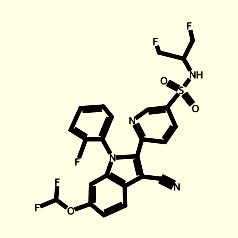 N#Cc1c(-c2ccc(S(=O)(=O)NC(CF)CF)cn2)n(-c2ccccc2F)c2cc(OC(F)F)ccc12